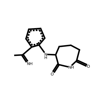 CC(=N)c1ccccc1NC1CCCC(=O)NC1=O